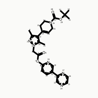 Cc1nn(CC(=O)Oc2ccc(-c3cnccn3)cn2)c(C)c1C1=CCN(C(=O)OC(C)(C)C)CC1